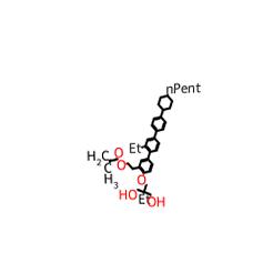 C=C(C)C(=O)OCCc1cc(-c2ccc(-c3ccc(C4CCC(CCCCC)CC4)cc3)cc2CC)ccc1OCC(CC)(CO)CO